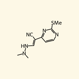 CSc1nccc(/C(C#N)=C/NN(C)C)n1